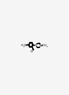 CN1CCN(c2ccc(N)cc2C=O)CC1